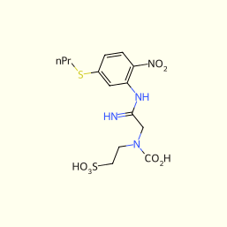 CCCSc1ccc([N+](=O)[O-])c(NC(=N)CN(CCS(=O)(=O)O)C(=O)O)c1